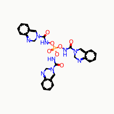 O=C(NOP(=O)(ONC(=O)N1C=c2ccccc2=NC1)ONC(=O)N1C=c2ccccc2=NC1)N1C=c2ccccc2=NC1